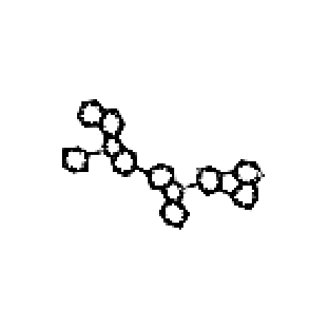 c1ccc(-n2c3ccc(-c4ccc5c(c4)c4ccccc4n5-c4cc5c(cn4)-c4ccnc6cccc-5c46)cc3c3ccc4ccccc4c32)cc1